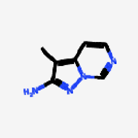 Cc1c(N)nn2cnccc12